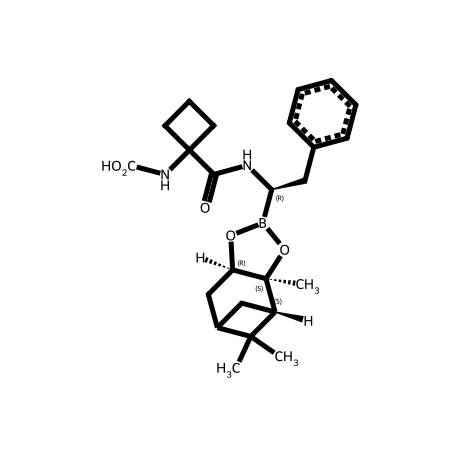 CC1(C)C2C[C@H]3OB([C@H](Cc4ccccc4)NC(=O)C4(NC(=O)O)CCC4)O[C@@]3(C)[C@H]1C2